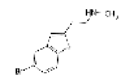 CNCCc1cc2cc(Br)ccc2s1